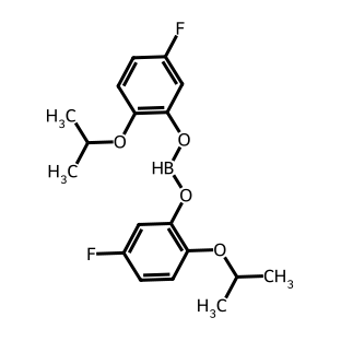 CC(C)Oc1ccc(F)cc1OBOc1cc(F)ccc1OC(C)C